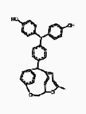 C\C1=C/C=C2\C=C\C(COc3ccc(cc3)C2c2ccc(C(c3ccc(O)cc3)c3ccc(O)cc3)cc2)O1